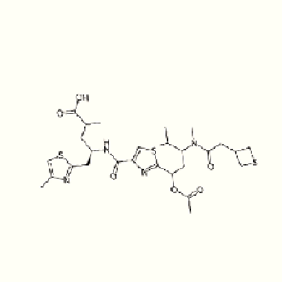 CC(=O)OC(CC(C(C)C)N(C)C(=O)CC1CSC1)c1nc(C(=O)N[C@@H](Cc2nc(C)cs2)CC(C)C(=O)O)cs1